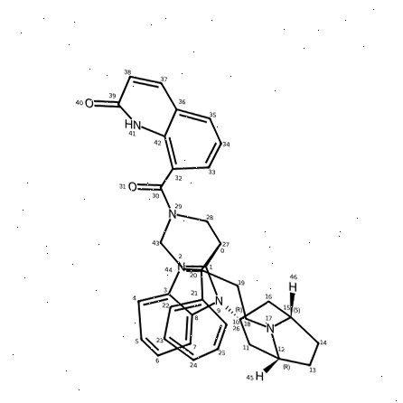 Cc1nc2ccccc2n1[C@H]1C[C@H]2CC[C@@H](C1)N2CCC1(c2ccccc2)CCN(C(=O)c2cccc3ccc(=O)[nH]c23)CC1